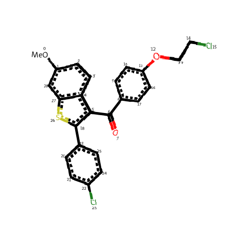 COc1ccc2c(C(=O)c3ccc(OCCCl)cc3)c(-c3ccc(Cl)cc3)sc2c1